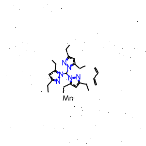 C=CC=C.CCc1cc(CC)n(C(n2nc(CC)cc2CC)n2nc(CC)cc2CC)n1.[Mn]